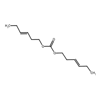 CC/C=C/CCOC(=O)OCC/C=C/CC